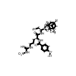 CCOc1ccc(C(=O)N[C@@H](CCCNC(=N)N[N+](=O)[O-])C(=O)N[C@@H](CC(C)C)B2O[C@@H]3C[C@@H]4C[C@@H](C4(C)C)[C@]3(C)O2)cc1